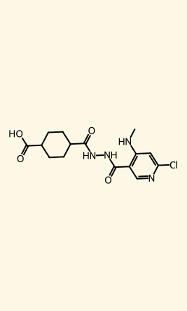 CNc1cc(Cl)ncc1C(=O)NNC(=O)C1CCC(C(=O)O)CC1